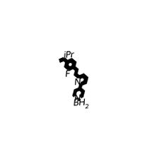 BN1CCC(c2cccc(CCc3ccc(C(=C)C(C)C)cc3F)n2)CC1